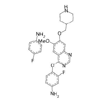 COc1cc2c(Oc3ccc(N)cc3F)ncnc2cc1OCC1CCNCC1.Nc1ccc(F)cc1